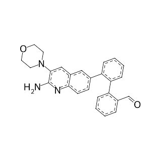 Nc1nc2ccc(-c3ccccc3-c3ccccc3C=O)cc2cc1N1CCOCC1